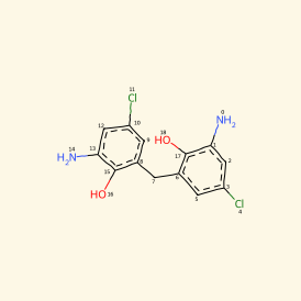 Nc1cc(Cl)cc(Cc2cc(Cl)cc(N)c2O)c1O